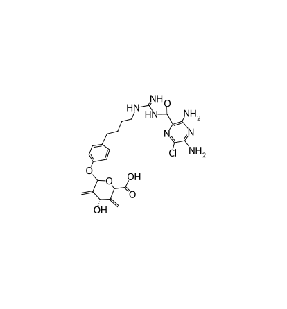 C=C1C(Oc2ccc(CCCCNC(=N)NC(=O)c3nc(Cl)c(N)nc3N)cc2)OC(C(=O)O)C(=C)[C@@H]1O